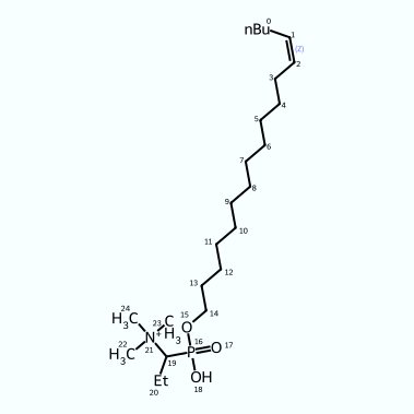 CCCC/C=C\CCCCCCCCCCCCOP(=O)(O)C(CC)[N+](C)(C)C